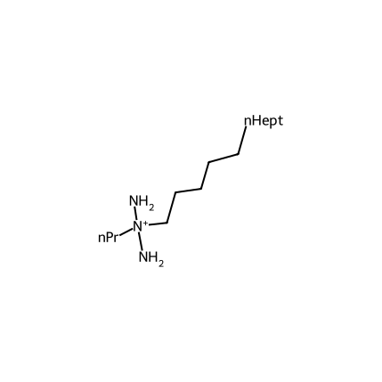 CCCCCCCCCCCC[N+](N)(N)CCC